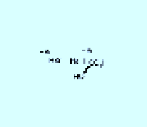 Br.Br.Br.O=C(O)O.[NaH]